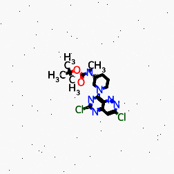 CN(C(=O)OC(C)(C)C)[C@@H]1CCCN(c2nc(Cl)nc3cc(Cl)nnc23)C1